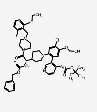 CCOc1cc(-c2cnccc2NC(=O)OC(C)(C)C)c(N2CCC([C@@H](NC(=O)OCc3ccccc3)C(=O)N3CCN(Cc4c(F)cccc4OCC)CC3)CC2)cc1Cl